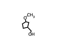 COC1CCC(CO)C1